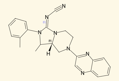 Cc1ccccc1N1/C(=N/C#N)N2CCN(c3cnc4ccccc4n3)C[C@@H]2C1C